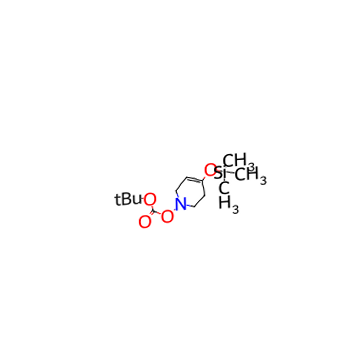 CC(C)(C)OC(=O)ON1CC=C(O[Si](C)(C)C)CC1